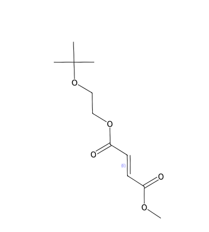 COC(=O)/C=C/C(=O)OCCOC(C)(C)C